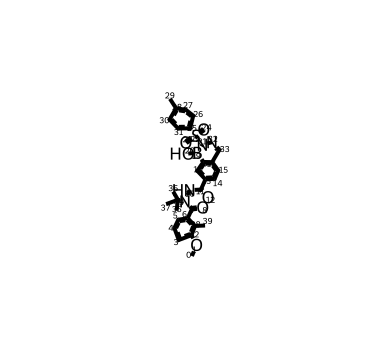 COc1cccc(C(=O)N(NC(=O)c2ccc3c(c2)B(O)N(S(=O)(=O)c2ccc(C)cc2)N=C3)C(C)(C)C)c1C